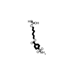 NS(=O)(=O)c1ccc(C(=O)OCCCCCCON(O)O)cc1